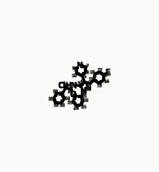 O=C(Nc1c(-c2ccncc2)c(-c2ccc(F)cc2)nn1-c1ccccc1)C(Cl)c1ccccc1